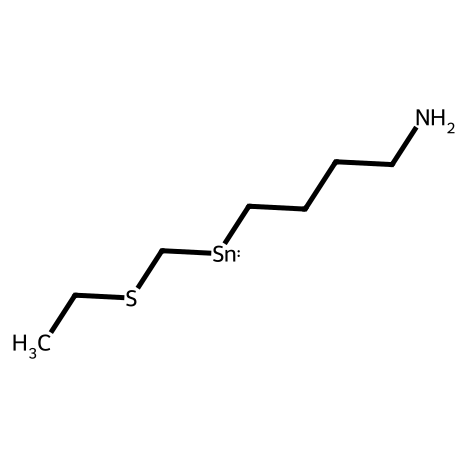 CCS[CH2][Sn][CH2]CCCN